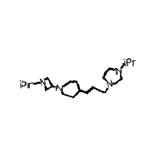 CC(C)N1CCN(CCCC2CCN(C3CN(C(C)C)C3)CC2)CC1